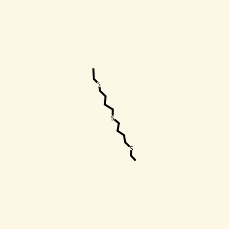 CCSCCCCSCCCCSCC